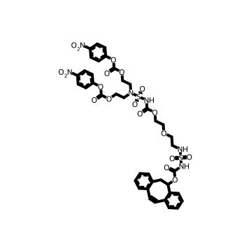 O=C(NS(=O)(=O)N(CCOC(=O)Oc1ccc([N+](=O)[O-])cc1)CCOC(=O)Oc1ccc([N+](=O)[O-])cc1)OCCOCCNS(=O)(=O)NC(=O)OC1Cc2ccccc2C#Cc2ccccc21